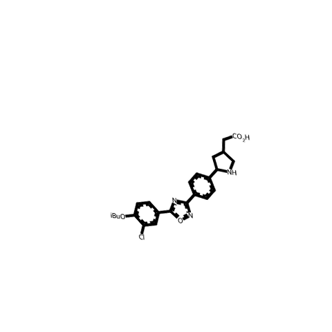 CC(C)COc1ccc(-c2nc(-c3ccc(C4CC(CC(=O)O)CN4)cc3)no2)cc1Cl